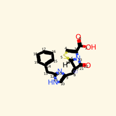 O=C(O)C1=CS[C@@H]2/C(=C\c3c[nH]c(Cc4ccccc4)n3)C(=O)N12